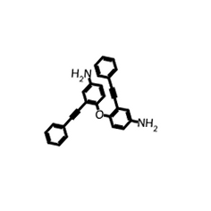 Nc1ccc(Oc2ccc(N)cc2C#Cc2ccccc2)c(C#Cc2ccccc2)c1